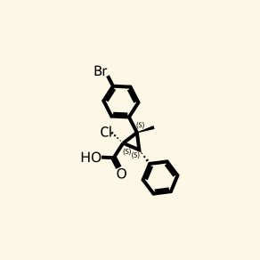 C[C@@]1(c2ccc(Br)cc2)[C@H](c2ccccc2)[C@@]1(Cl)C(=O)O